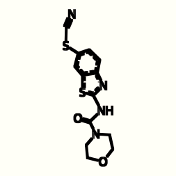 N#CSc1ccc2nc(NC(=O)N3CCOCC3)sc2c1